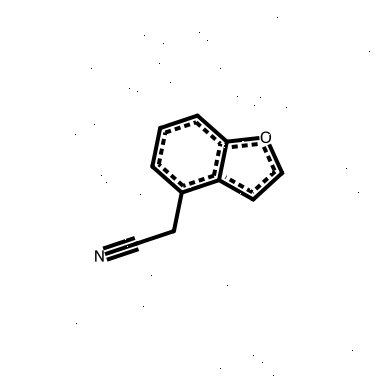 N#CCc1cccc2occc12